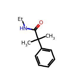 CCNC(=O)C(C)(C)c1ccccc1